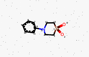 O=S1(=O)CCN(c2c[c]ccc2)CC1